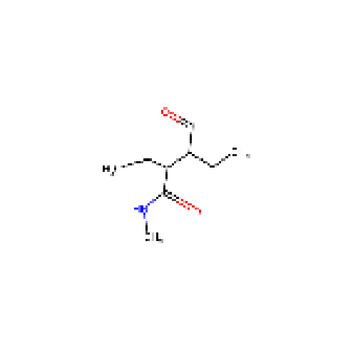 CCC(C=O)C(CC)C(=O)NC